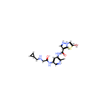 Cc1ncc(NC(=O)CNCC2CC2)cc1NC(=O)c1cnn2cc(Br)sc12